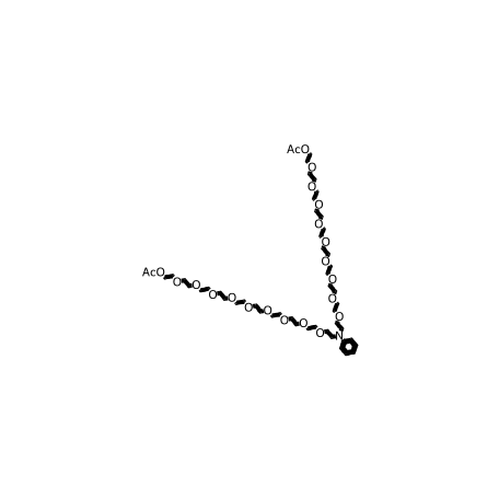 CC(=O)OCCOCCOCCOCCOCCOCCOCCOCCOCCOCCN(CCOCCOCCOCCOCCOCCOCCOCCOCCOCCOC(C)=O)c1ccccc1